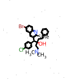 CSc1nc2ccc(Br)cc2cc1C(c1ccc(Cl)cc1)C(O)(CCc1ccccc1)CCN(C)C